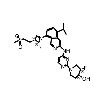 CC(C)c1ccc(N2C[C@H](CCS(C)(=O)=O)[C@H]2C)c2cnc(Nc3ccnc(N4CC[C@H](O)[C@H](F)C4)n3)cc12